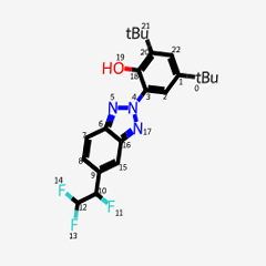 CC(C)(C)c1cc(-n2nc3ccc(C(F)C(F)F)cc3n2)c(O)c(C(C)(C)C)c1